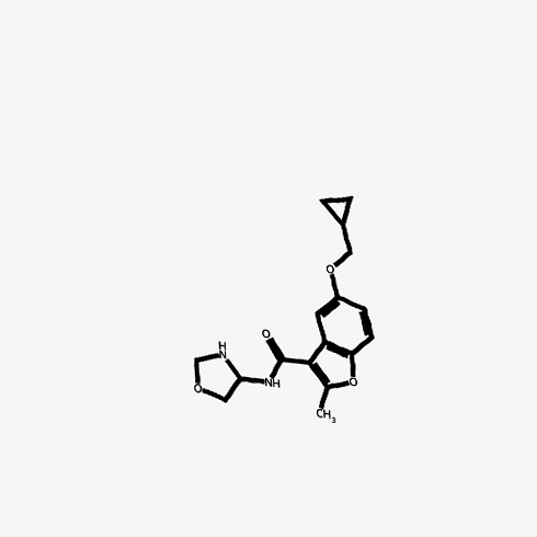 Cc1oc2ccc(OCC3CC3)cc2c1C(=O)NC1COCN1